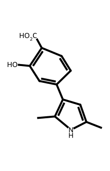 Cc1cc(-c2ccc(C(=O)O)c(O)c2)c(C)[nH]1